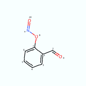 O=Cc1ccccc1ON=O